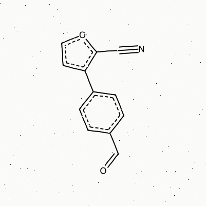 N#Cc1occc1-c1ccc(C=O)cc1